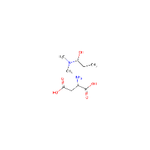 CCC(O)N(C)C.NC(CC(=O)O)C(=O)O